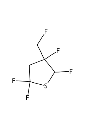 FCC1(F)CC(F)(F)SC1F